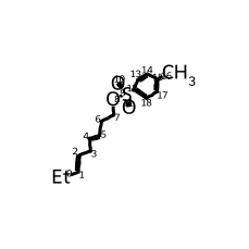 CC/C=C/C/C=C/CCOS(=O)(=O)c1ccc(C)cc1